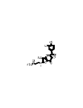 CCCCN(CC)CCNc1sc(C(=O)c2cc(-c3ccc(Cl)c(Cl)c3)no2)c(N)c1C#N